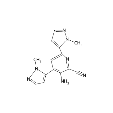 Cn1nccc1-c1cc(-c2ccnn2C)c(N)c(C#N)n1